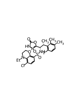 CCN1CCOc2c(S(=O)(=O)N[C@H](c3n[nH]c(=O)o3)[C@H](C)c3c(F)ccc(C)c3C)ccc(Cl)c21